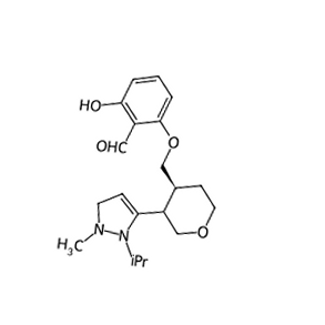 CC(C)N1C(C2COCC[C@@H]2COc2cccc(O)c2C=O)=CCN1C